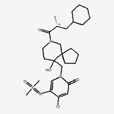 C[C@H](CC1CCCCC1)C(=O)N1CCC(O)(Cn2cc(N=S(C)(C)=O)c(Cl)cc2=O)C2(CCCC2)C1